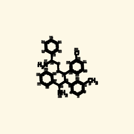 Cc1cccc(C([C](CCC(N)c2ccccc2)c2cccc(Cl)c2)C(N)c2ccccc2)c1